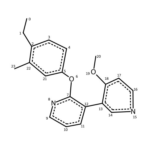 CCc1ccc(Oc2ncccc2-c2cnccc2OC)cc1C